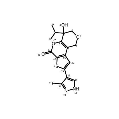 CC(C)C1(O)COCc2c1oc(=O)c1sc(-c3c[nH]nc3F)cc21